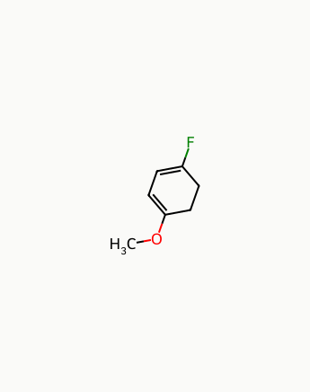 COC1=CC=C(F)CC1